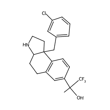 CC(O)(c1ccc2c(c1)CCC1NCCC21Cc1cccc(Cl)c1)C(F)(F)F